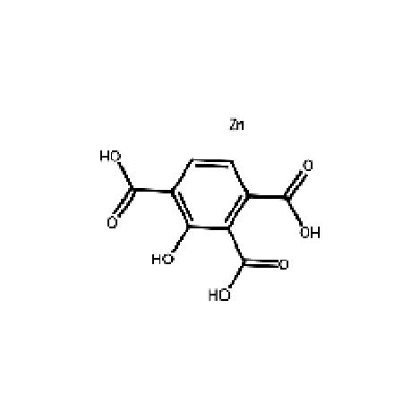 O=C(O)c1ccc(C(=O)O)c(C(=O)O)c1O.[Zn]